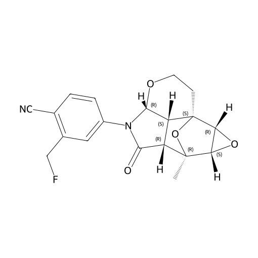 C[C@@]12O[C@]3(CCO[C@@H]4[C@H]3[C@H]1C(=O)N4c1ccc(C#N)c(CF)c1)[C@@H]1O[C@@H]12